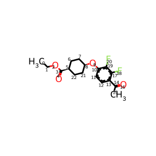 CCOC(=O)[C@H]1CC[C@@H](Oc2ccc(C(C)=O)c(F)c2F)CC1